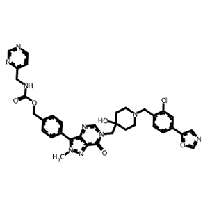 Cn1nc2c(=O)n(CC3(O)CCN(Cc4ccc(-c5cnco5)cc4Cl)CC3)cnc2c1-c1ccc(COC(=O)NCc2ccncn2)cc1